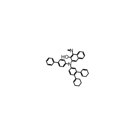 C=Nc1c(O)c(N(c2ccc(-c3ccccc3)cc2)c2ccc(C3=CCCCC3)c(C3=CCCC=C3)c2)cc2ccccc12